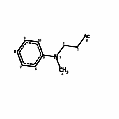 CC(=O)CCN(C)c1ccccc1